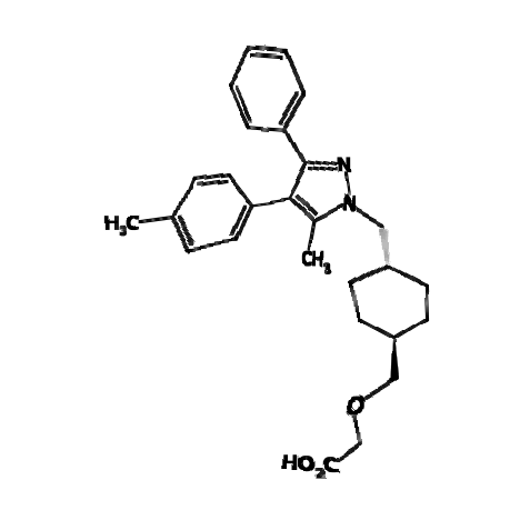 Cc1ccc(-c2c(-c3ccccc3)nn(C[C@H]3CC[C@H](COCC(=O)O)CC3)c2C)cc1